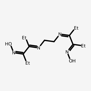 CCC(=NO)C(CC)=NCCN=C(CC)C(CC)=NO